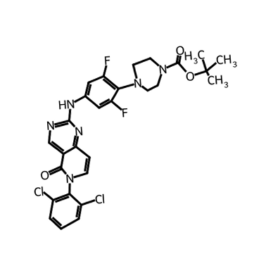 CC(C)(C)OC(=O)N1CCN(c2c(F)cc(Nc3ncc4c(=O)n(-c5c(Cl)cccc5Cl)ccc4n3)cc2F)CC1